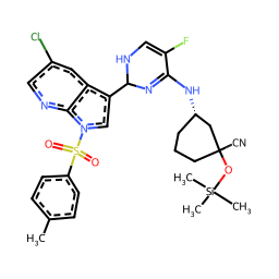 Cc1ccc(S(=O)(=O)n2cc(C3N=C(N[C@H]4CCCC(C#N)(O[Si](C)(C)C)C4)C(F)=CN3)c3cc(Cl)cnc32)cc1